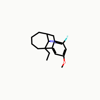 CCC12CCCCC(Cc3c(F)cc(OC)cc31)C2N